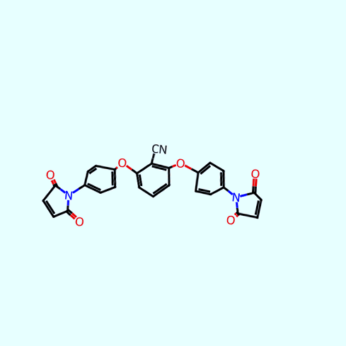 N#Cc1c(Oc2ccc(N3C(=O)C=CC3=O)cc2)cccc1Oc1ccc(N2C(=O)C=CC2=O)cc1